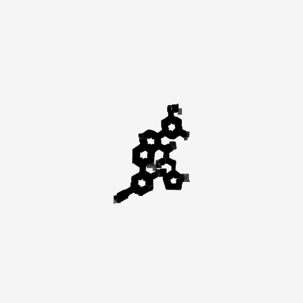 Cc1cc(F)cc(-c2cnc3ccc(-c4cc(C#N)cnc4O)cc3c2C(=O)N(C)C[C@@H]2CCCN2)c1